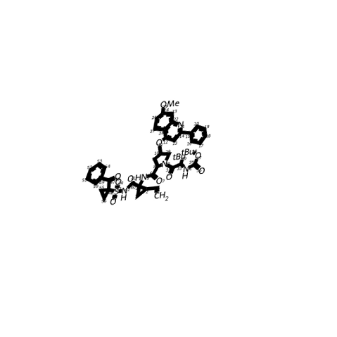 C=CC1CC1(NC(=O)C1CC(Oc2cc(-c3ccccc3)nc3cc(OC)ccc23)CN1C(=O)C(NC(=O)OC(C)(C)C)C(C)(C)C)C(=O)NS(=O)(=O)C1(C(=O)c2ccccc2)CC1